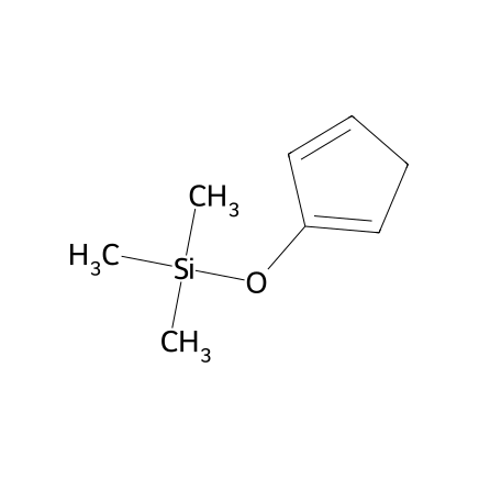 C[Si](C)(C)OC1=CCC=C1